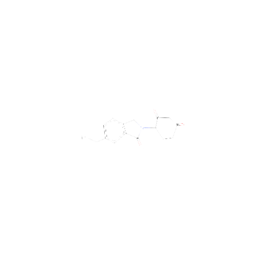 CC(C)Cc1ccc2c(c1)C(=O)N(C1CCC(=O)CC1=O)C2